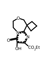 CCOC(=O)c1nc2n(c(=O)c1O)CCOCC21CCC1